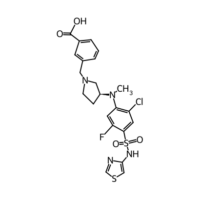 CN(c1cc(F)c(S(=O)(=O)Nc2cscn2)cc1Cl)[C@H]1CCN(Cc2cccc(C(=O)O)c2)C1